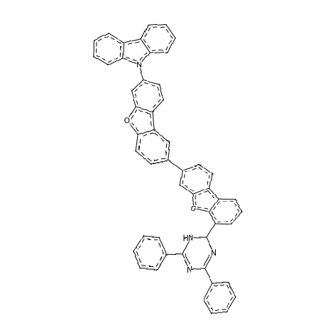 c1ccc(C2=NC(c3cccc4c3oc3cc(-c5ccc6oc7cc(-n8c9ccccc9c9ccccc98)ccc7c6c5)ccc34)NC(c3ccccc3)=N2)cc1